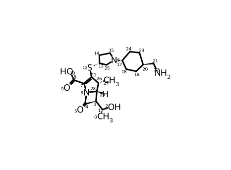 C[C@@H](O)[C@H]1C(=O)N2C(C(=O)O)=C(S[C@@H]3CCN([C@H]4CC[C@H](CN)CC4)C3)[C@H](C)[C@H]12